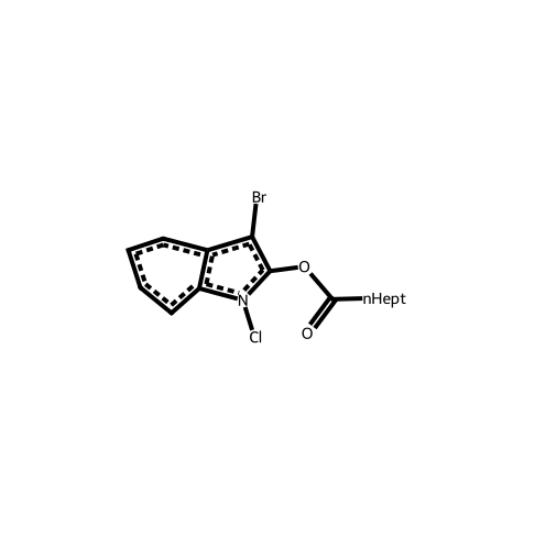 CCCCCCCC(=O)Oc1c(Br)c2ccccc2n1Cl